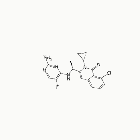 C[C@H](Nc1nc(N)ncc1F)c1cc2cccc(Cl)c2c(=O)n1C1CC1